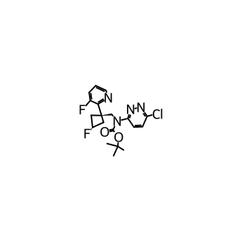 CC(C)(C)OC(=O)N(C[C@]1(c2ncccc2F)C[C@@H](F)C1)c1ccc(Cl)nn1